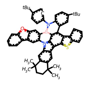 CC(C)(C)c1ccc(N2B3c4cc5oc6ccccc6c5cc4-n4c5cc6c(cc5c5c7sc8ccccc8c7c(c3c54)-c3cc(C(C)(C)C)ccc32)C(C)(C)CCC6(C)C)cc1